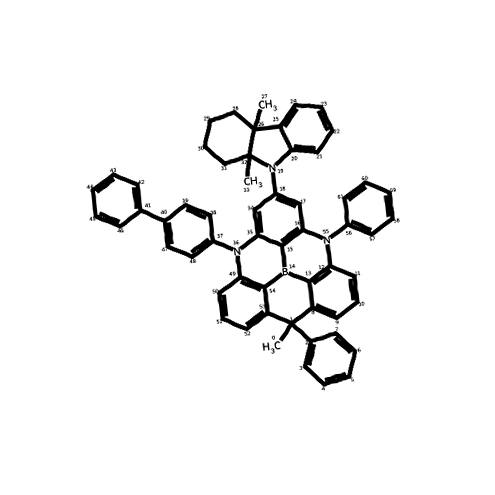 CC1(c2ccccc2)c2cccc3c2B2c4c(cc(N5c6ccccc6C6(C)CCCCC56C)cc4N(c4ccc(-c5ccccc5)cc4)c4cccc1c42)N3c1ccccc1